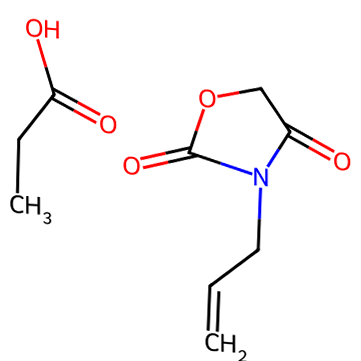 C=CCN1C(=O)COC1=O.CCC(=O)O